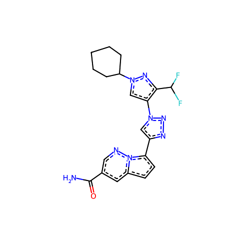 NC(=O)c1cnn2c(-c3cn(-c4cn(C5CCCCC5)nc4C(F)F)nn3)ccc2c1